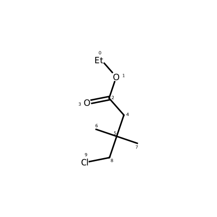 CCOC(=O)CC(C)(C)CCl